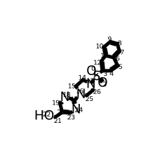 O=S(=O)(c1ccc2ccccc2c1)N1CCN(c2ncc(CO)cn2)CC1